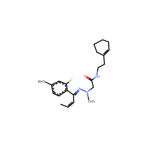 C/C=C\C(=N/N(C=O)CC(=O)NCCC1=CCCCC1)c1ccc(OC)cc1F